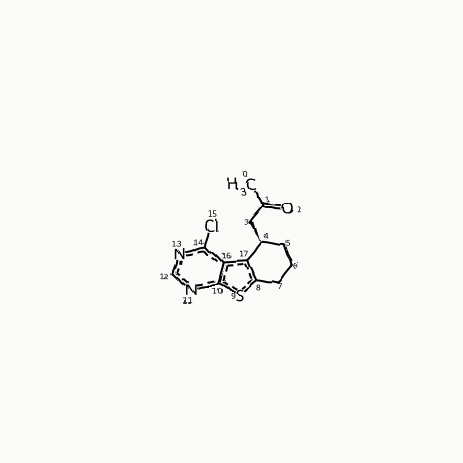 CC(=O)C[C@H]1CCCc2sc3ncnc(Cl)c3c21